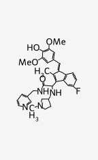 COc1cc(C=C2C(C)=C(C(NC3CCN(C)C3)C(=O)NCc3cccnc3)c3cc(F)ccc32)cc(OC)c1O